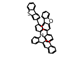 c1ccc(N(c2ccc(-c3ccc4c(c3)sc3ccccc34)cc2)c2ccccc2-c2ccc3c(c2)oc2ccccc23)c(-c2ccc3ccccc3c2)c1